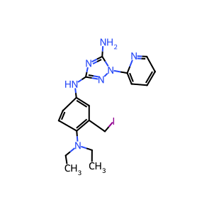 CCN(CC)c1ccc(Nc2nc(N)n(-c3ccccn3)n2)cc1CI